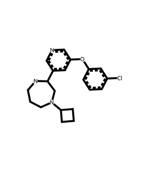 Clc1cccc(Oc2cncc(C3CN(C4CCC4)CCC[N]3)c2)c1